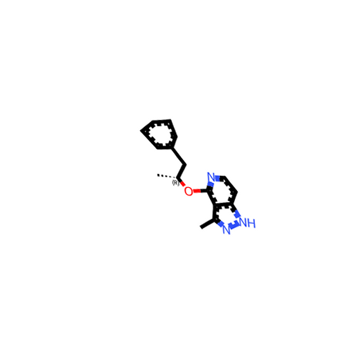 Cc1n[nH]c2ccnc(O[C@H](C)Cc3ccccc3)c12